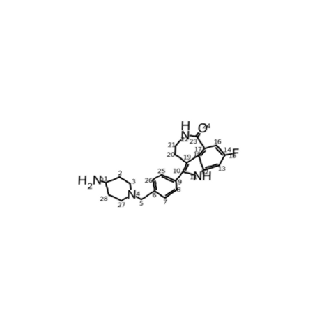 NC1CCN(Cc2ccc(-c3[nH]c4cc(F)cc5c4c3CCNC5=O)cc2)CC1